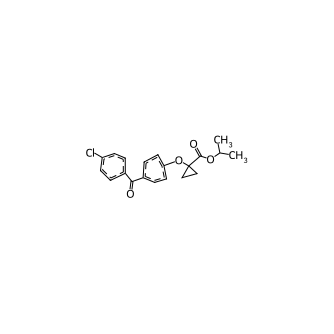 CC(C)OC(=O)C1(Oc2ccc(C(=O)c3ccc(Cl)cc3)cc2)CC1